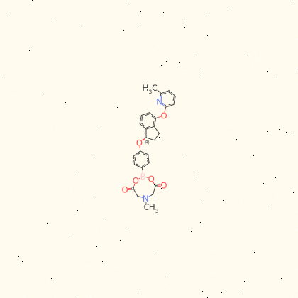 Cc1cccc(Oc2cccc3c2CC[C@H]3Oc2ccc(B3OC(=O)CN(C)CC(=O)O3)cc2)n1